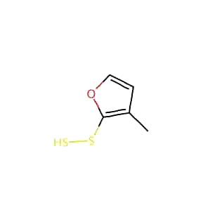 Cc1ccoc1SS